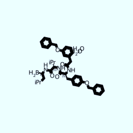 B[C@H](CC(C)C)NC(=O)[C@@H](NC(=O)[C@H](Cc1ccc(OCc2ccccc2)cc1)NC(=O)Cc1cccc(OCc2ccccc2)c1)C(C)C.O.O